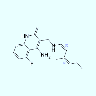 C=C1Nc2cccc(F)c2C(N)=C1CN/C=C\C(C)=C/CC